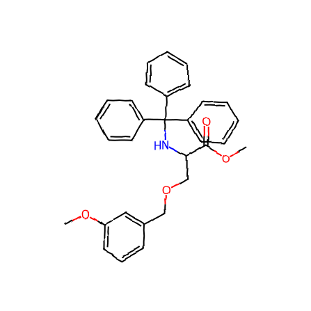 COC(=O)C(COCc1cccc(OC)c1)NC(c1ccccc1)(c1ccccc1)c1ccccc1